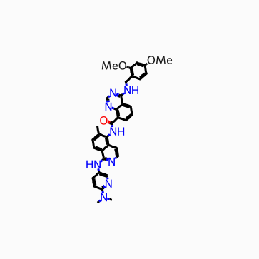 COc1ccc(CNc2ncnc3c(C(=O)Nc4c(C)ccc5c(Nc6ccc(N(C)C)nc6)nccc45)cccc23)c(OC)c1